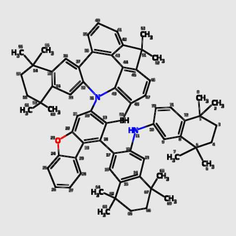 CC1(C)CCC(C)(C)c2cc(Nc3cc4c(cc3-c3c5c(cc6oc7ccccc7c36)N3c6cc7c(cc6-c6cccc8c6-c6c(ccc(c63)B5)C8(C)C)C(C)(C)CCC7(C)C)C(C)(C)CCC4(C)C)ccc21